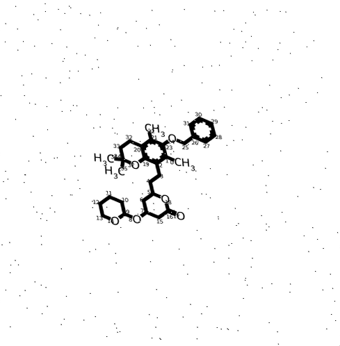 Cc1c(CCC2CC(OC3CCCCO3)CC(=O)O2)c2c(c(C)c1OCc1ccccc1)CCC(C)(C)O2